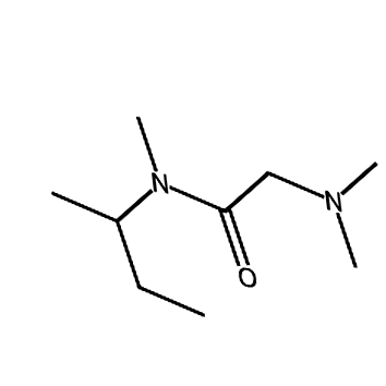 CCC(C)N(C)C(=O)CN(C)C